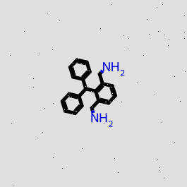 NCc1cccc(CN)c1C(c1ccccc1)c1ccccc1